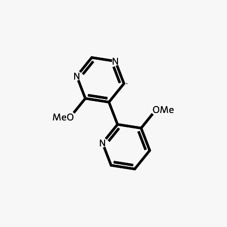 COc1cccnc1-c1[c]ncnc1OC